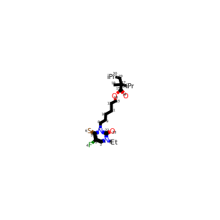 CCn1cc(F)c(=S)n(CCCCCCOC(=O)C(C)(CC(C)C)C(C)C)c1=O